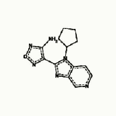 Nc1nonc1-c1nc2cnccc2n1C1CCCC1